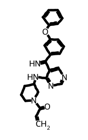 C=CC(=O)N1CCCC(Nc2ncncc2C(=N)c2cccc(Oc3ccccc3)c2)C1